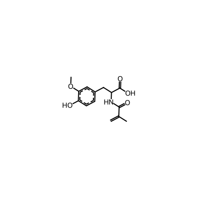 C=C(C)C(=O)NC(Cc1ccc(O)c(OC)c1)C(=O)O